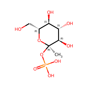 C[C@]1(OP(=O)(O)O)O[C@H](CO)[C@@H](O)[C@H](O)[C@H]1O